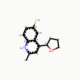 Cc1cc(C2CCCO2)c2cc(F)ccc2n1